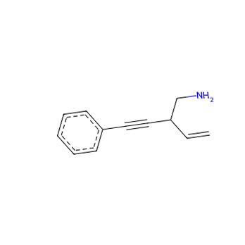 C=CC(C#Cc1ccccc1)CN